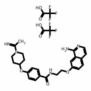 CC(=N)N1CCC(Oc2ccc(C(=O)NCCOc3ccc4ccnc(N)c4c3)cc2)CC1.O=C(O)C(F)(F)F.O=C(O)C(F)(F)F